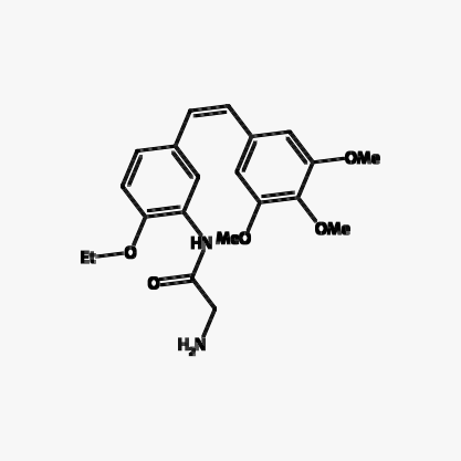 CCOc1ccc(/C=C\c2cc(OC)c(OC)c(OC)c2)cc1NC(=O)CN